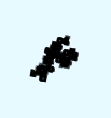 C[C@@H](NC(=O)c1c2n(c(=O)n1-c1ccc(OC3CC3)cc1)CCN(C(=O)c1ccc(Br)c(Cl)c1)C2)c1ccccc1-n1cncn1